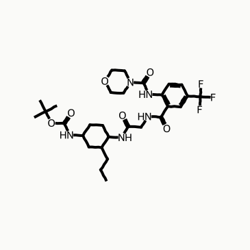 CCCC1CC(NC(=O)OC(C)(C)C)CCC1NC(=O)CNC(=O)c1cc(C(F)(F)F)ccc1NC(=O)N1CCOCC1